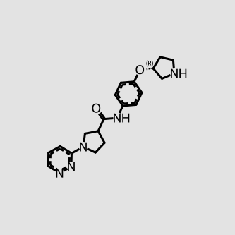 O=C(Nc1ccc(O[C@@H]2CCNC2)cc1)C1CCN(c2cccnn2)C1